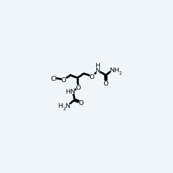 NC(=O)NOCC(COCl)ONC(N)=O